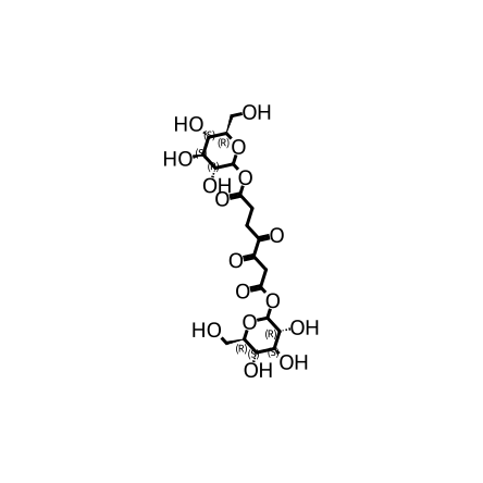 O=C(CCC(=O)C(=O)CC(=O)OC1O[C@H](CO)[C@@H](O)[C@H](O)[C@H]1O)OC1O[C@H](CO)[C@@H](O)[C@H](O)[C@H]1O